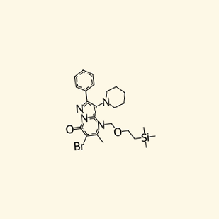 Cc1c(Br)c(=O)n2nc(-c3ccccc3)c(N3CCCCC3)c2n1COCC[Si](C)(C)C